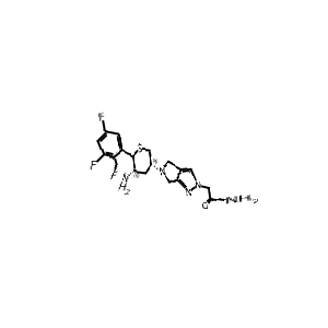 NC(=O)Cn1cc2c(n1)CN([C@H]1CSC(c3cc(F)cc(F)c3F)[C@@H](N)C1)C2